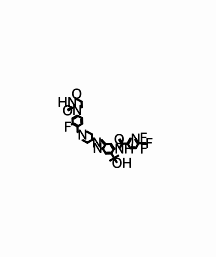 CC(C)(O)c1cc2nn(C3CCN(Cc4ccc(N5CCC(=O)NC5=O)cc4F)CC3)cc2cc1NC(=O)c1ccc(C(F)(F)F)nc1